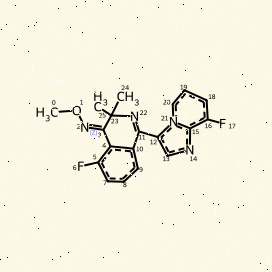 CO/N=C1/c2c(F)cccc2C(c2cnc3c(F)cccn23)=NC1(C)C